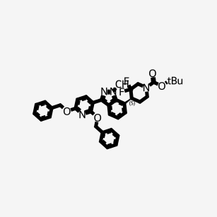 Cn1nc(-c2ccc(OCc3ccccc3)nc2OCc2ccccc2)c2cccc([C@@H]3CCN(C(=O)OC(C)(C)C)CC3(F)F)c21